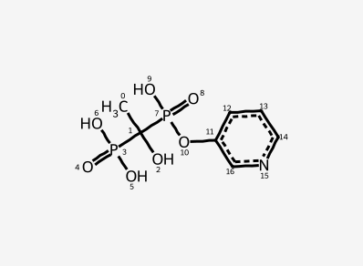 CC(O)(P(=O)(O)O)P(=O)(O)Oc1cccnc1